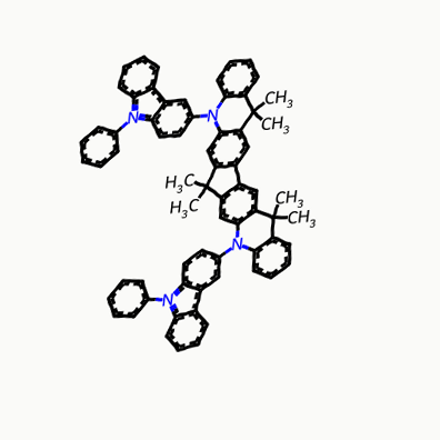 CC1(C)c2cc3c(cc2-c2cc4c(cc21)N(c1ccc2c(c1)c1ccccc1n2-c1ccccc1)c1ccccc1C4(C)C)C(C)(C)c1ccccc1N3c1ccc2c(c1)c1ccccc1n2-c1ccccc1